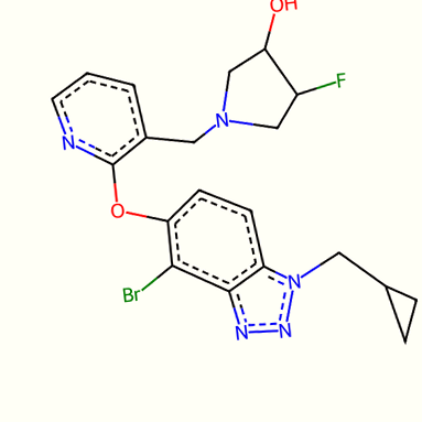 OC1CN(Cc2cccnc2Oc2ccc3c(nnn3CC3CC3)c2Br)CC1F